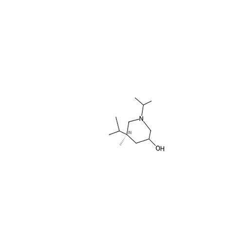 CC(C)N1CC(O)C[C@@](C)(C(C)C)C1